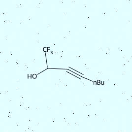 CCCCC#CC(O)C(F)(F)F